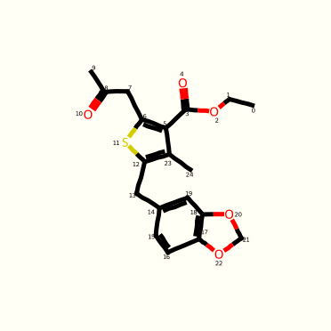 CCOC(=O)c1c(CC(C)=O)sc(Cc2ccc3c(c2)OCO3)c1C